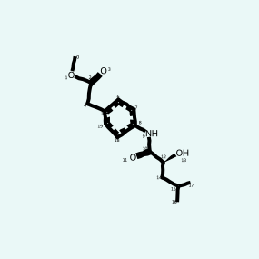 COC(=O)Cc1ccc(NC(=O)[C@@H](O)CC(C)C)cc1